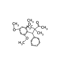 COc1cc(OC)c(C(c2ccccc2)C(C)(C)C(C)=O)c(OC)c1